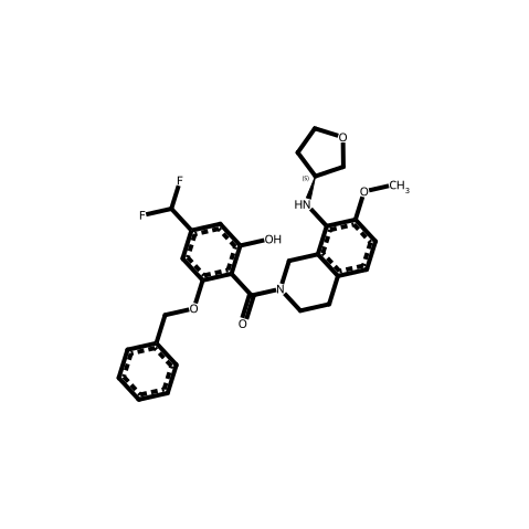 COc1ccc2c(c1N[C@H]1CCOC1)CN(C(=O)c1c(O)cc(C(F)F)cc1OCc1ccccc1)CC2